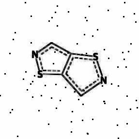 c1nsc2cnsc12